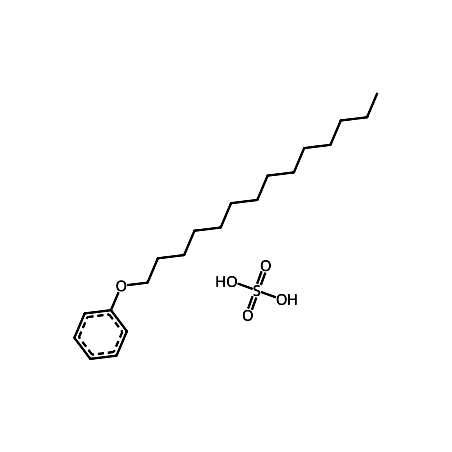 CCCCCCCCCCCCCCOc1ccccc1.O=S(=O)(O)O